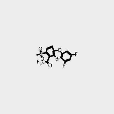 CS(=O)(=O)c1ccc(Oc2cc(F)cc(F)c2)c(Br)c1C(=O)C(F)(F)F